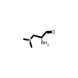 CN(C)C[C@@H](N)C=O